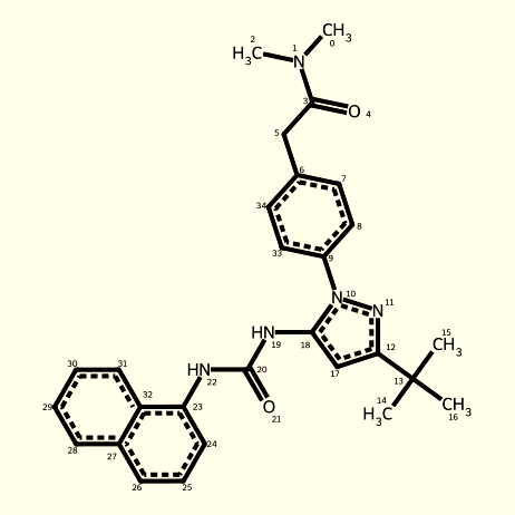 CN(C)C(=O)Cc1ccc(-n2nc(C(C)(C)C)cc2NC(=O)Nc2cccc3ccccc23)cc1